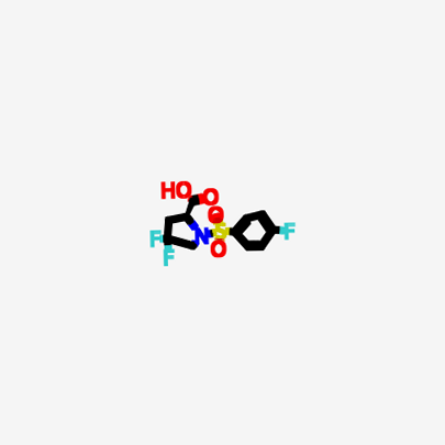 O=C(O)[C@@H]1CC(F)(F)CN1S(=O)(=O)c1ccc(F)cc1